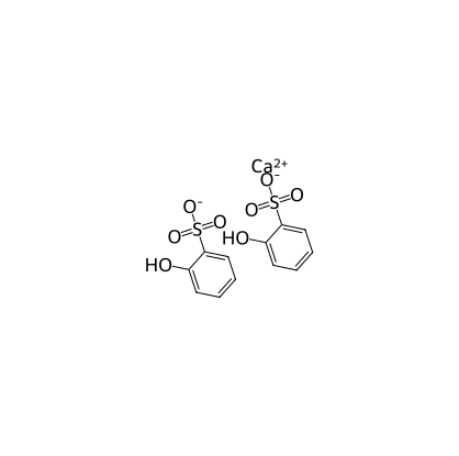 O=S(=O)([O-])c1ccccc1O.O=S(=O)([O-])c1ccccc1O.[Ca+2]